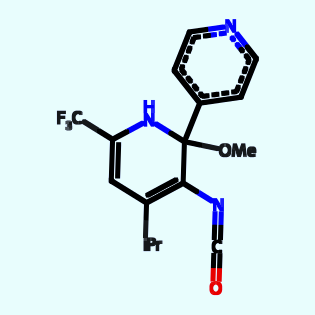 COC1(c2ccncc2)NC(C(F)(F)F)=CC(C(C)C)=C1N=C=O